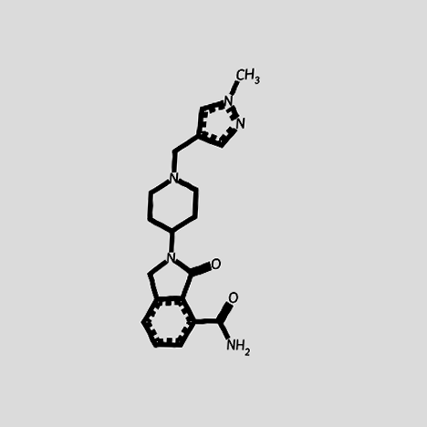 Cn1cc(CN2CCC(N3Cc4cccc(C(N)=O)c4C3=O)CC2)cn1